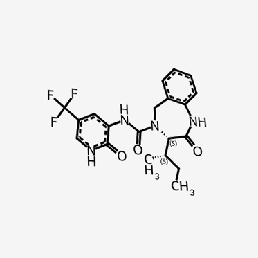 CC[C@H](C)[C@H]1C(=O)Nc2ccccc2CN1C(=O)Nc1cc(C(F)(F)F)c[nH]c1=O